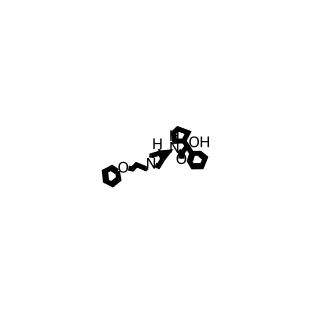 O=C(N[C@H]1C2CN(CCCOc3ccccc3)C[C@@H]21)C(O)(c1ccccc1)C1CCCC1